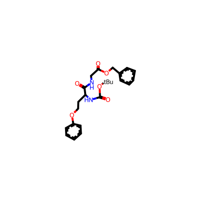 CC(C)(C)OC(=O)NC(CCOc1ccccc1)C(=O)NCC(=O)OCc1ccccc1